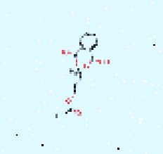 CCCCOC(C)=O.O=C(O)c1ccccc1C(=O)O